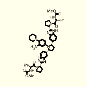 COC(=O)N[C@H](C(=O)N1CCC[C@H]1c1nc2cc([C@H]3CC[C@H](c4ccc5[nH]c([C@@H]6CCCN6C(=O)[C@@H](NC(=O)OC)C(C)C)nc5c4)N3c3ccc(N4CCCCC4)c(N)c3)ccc2[nH]1)C(C)C